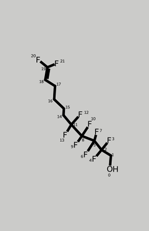 OCC(F)(F)C(F)(F)C(F)(F)C(F)(F)CCCCC=C(F)F